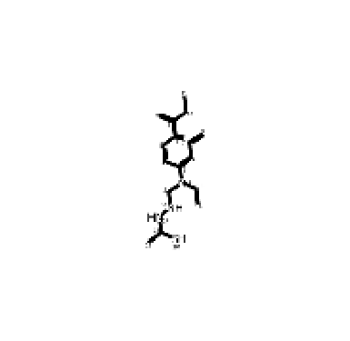 C=C/C=C(\C=C/C(=C)C(=C)CC)N(CC)CNNC(C)S